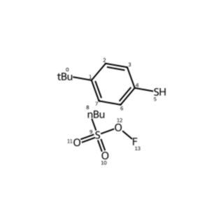 CC(C)(C)c1ccc(S)cc1.CCCCS(=O)(=O)OF